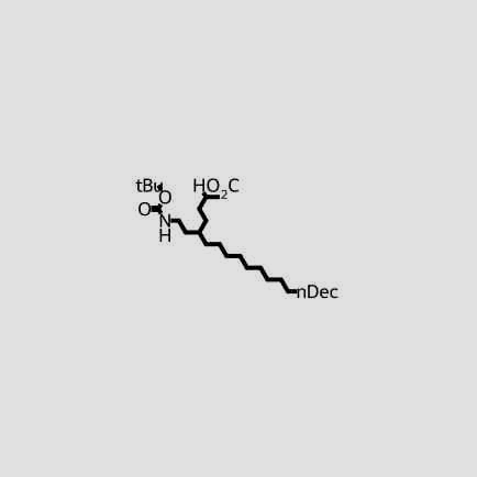 CCCCCCCCCCCCCCCCCCCC(CCNC(=O)OC(C)(C)C)CCC(C)C(=O)O